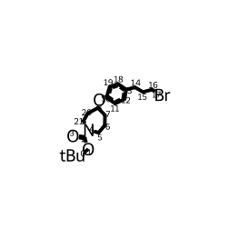 CC(C)(C)OC(=O)N1CCCC(Oc2ccc(CCCBr)cc2)CC1